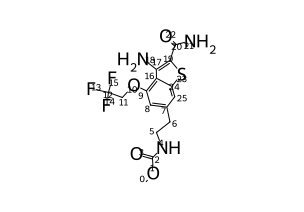 COC(=O)NCCc1cc(OCC(F)(F)F)c2c(N)c(C(N)=O)sc2c1